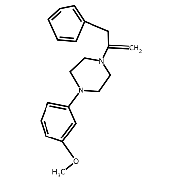 C=C(Cc1ccccc1)N1CCN(c2cccc(OC)c2)CC1